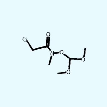 COC(OC)ON(C)C(=O)CCl